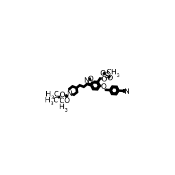 CC(C)(C)OC(=O)N1CCC(CCc2noc3c(COS(C)(=O)=O)c(OCc4ccc(C#N)cc4)ccc23)CC1